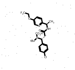 C[C@@H](NC(=O)C[C@H](c1ccc(Cl)cc1)N(C(=O)O)C(C)(C)C)c1ccc(OCC(F)(F)F)cn1